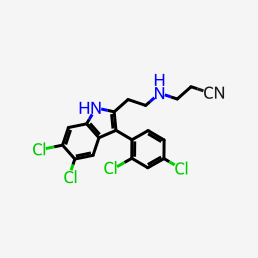 N#CCCNCCc1[nH]c2cc(Cl)c(Cl)cc2c1-c1ccc(Cl)cc1Cl